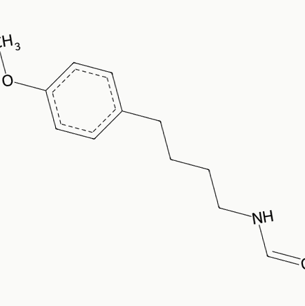 COc1ccc(CCCCNC=O)cc1